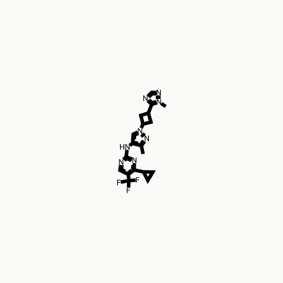 Cc1nn(C2CC(c3ncnn3C)C2)cc1Nc1ncc(C(F)(F)F)c(C2CC2)n1